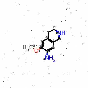 COc1cc2c(cc1N)CNCC2